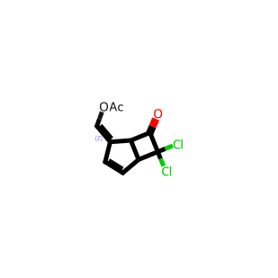 CC(=O)O/C=C1/C=CC2C1C(=O)C2(Cl)Cl